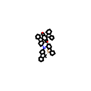 CC1(C)c2ccccc2-c2ccc(N(c3ccc4c(c3)C3(c5ccccc5-4)c4ccccc4C(c4ccccc4)(c4ccccc4)c4ccccc43)c3cccc4c3sc3ccccc34)cc21